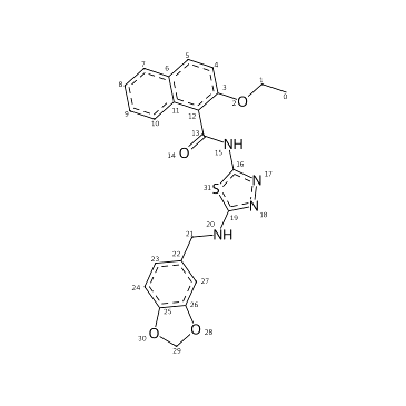 CCOc1ccc2ccccc2c1C(=O)Nc1nnc(NCc2ccc3c(c2)OCO3)s1